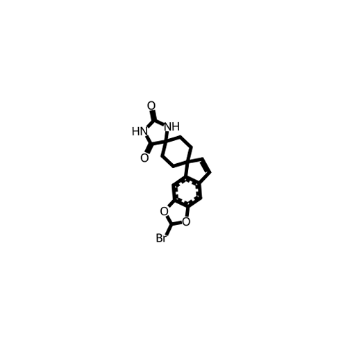 O=C1NC(=O)C2(CCC3(C=Cc4cc5c(cc43)OC(Br)O5)CC2)N1